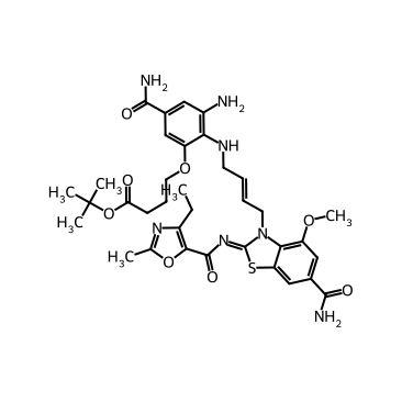 CCc1nc(C)oc1C(=O)/N=c1\sc2cc(C(N)=O)cc(OC)c2n1C/C=C/CNc1c(N)cc(C(N)=O)cc1OCCCC(=O)OC(C)(C)C